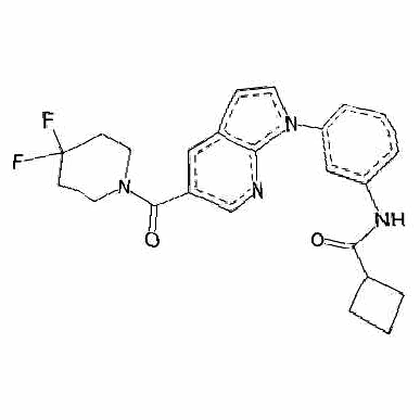 O=C(Nc1cccc(-n2ccc3cc(C(=O)N4CCC(F)(F)CC4)cnc32)c1)C1CCC1